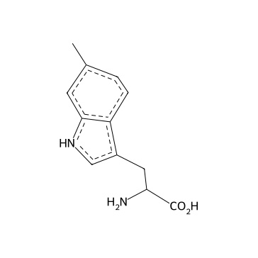 Cc1ccc2c(CC(N)C(=O)O)c[nH]c2c1